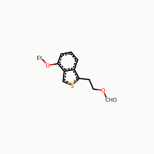 CCOc1cccc2c(CCOC=O)scc12